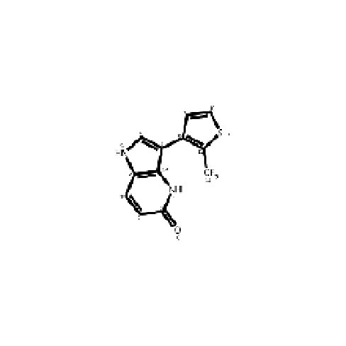 O=c1ccc2[nH]cc(-c3ccsc3C(F)(F)F)c2[nH]1